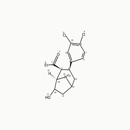 CCC(=O)[C@H]1[C@@H](c2ccc(Cl)c(Cl)c2)CC2CC(O)[C@@H]1N2C